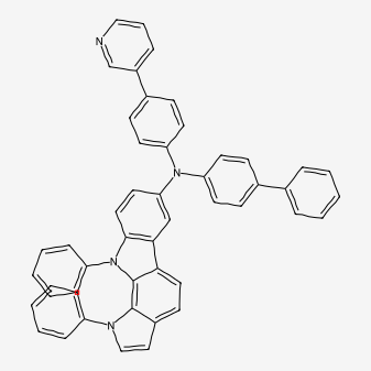 c1ccc(-c2ccc(N(c3ccc(-c4cccnc4)cc3)c3ccc4c(c3)c3ccc5ccn(-c6ccccc6)c5c3n4-c3ccccc3)cc2)cc1